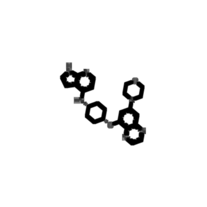 c1cnc2c(O[C@H]3CC[C@@H](Nc4ccnc5[nH]ccc45)CC3)cc(N3CCOCC3)cc2n1